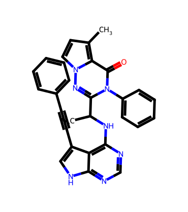 Cc1ccn2nc(C(C)Nc3ncnc4[nH]cc(C#Cc5ccccc5)c34)n(-c3ccccc3)c(=O)c12